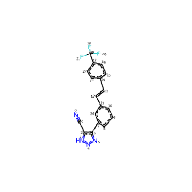 N#Cc1[nH]nnc1-c1cccc(C=Cc2ccc(C(F)(F)F)cc2)c1